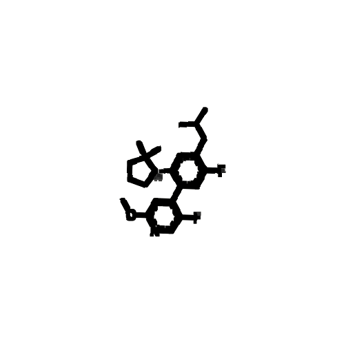 COc1cc(-c2cc(F)c(CC(C)C)cc2[C@@H]2CCCC2(C)C)c(F)cn1